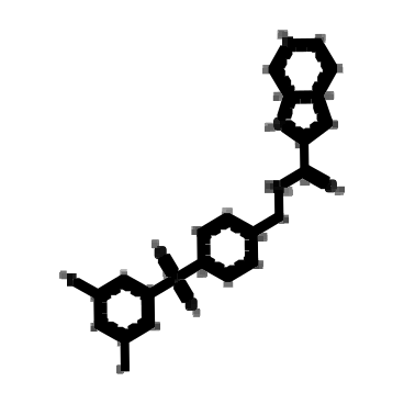 Cc1cc(F)cc(S(=O)(=O)c2ccc(CNC(=O)c3cc4ccncc4o3)cc2)c1